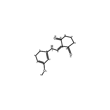 COC1=CCCC(NC=C2C(=O)CCCC2=O)=C1